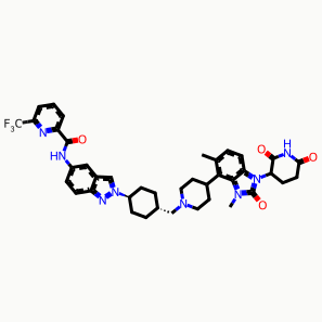 Cc1ccc2c(c1C1CCN(C[C@H]3CC[C@H](n4cc5cc(NC(=O)c6cccc(C(F)(F)F)n6)ccc5n4)CC3)CC1)n(C)c(=O)n2C1CCC(=O)NC1=O